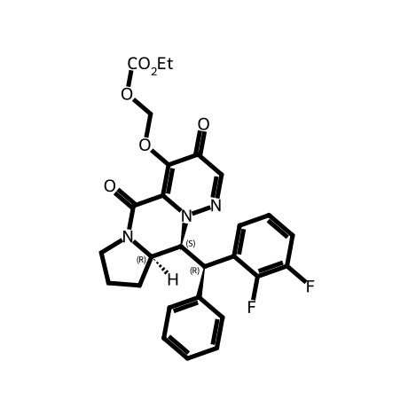 CCOC(=O)OCOc1c2n(ncc1=O)[C@@H]([C@H](c1ccccc1)c1cccc(F)c1F)[C@H]1CCCN1C2=O